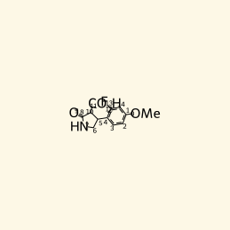 COc1ccc(C2CNC(=O)C2C(=O)O)c(F)c1